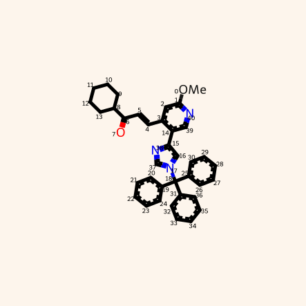 COc1cc(C=CC(=O)C2CCCCC2)c(-c2cn(C(c3ccccc3)(c3ccccc3)c3ccccc3)cn2)cn1